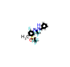 Cc1cc(F)c(/N=C(/NCc2ccccc2)C(F)(F)F)cc1[S+]([O-])CC(F)(F)F